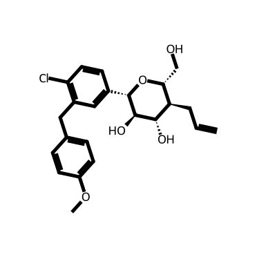 C=CC[C@H]1[C@H](O)[C@@H](O)[C@H](c2ccc(Cl)c(Cc3ccc(OC)cc3)c2)O[C@@H]1CO